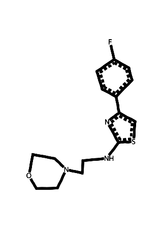 Fc1ccc(-c2csc(NCCN3CCOCC3)n2)cc1